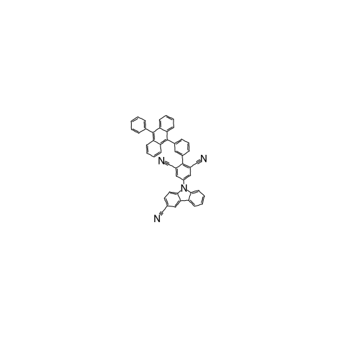 N#Cc1ccc2c(c1)c1ccccc1n2-c1cc(C#N)c(-c2cccc(-c3c4ccccc4c(-c4ccccc4)c4ccccc34)c2)c(C#N)c1